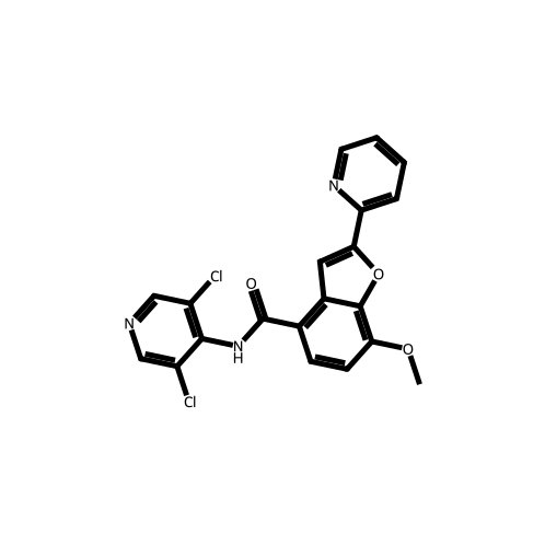 COc1ccc(C(=O)Nc2c(Cl)cncc2Cl)c2cc(-c3ccccn3)oc12